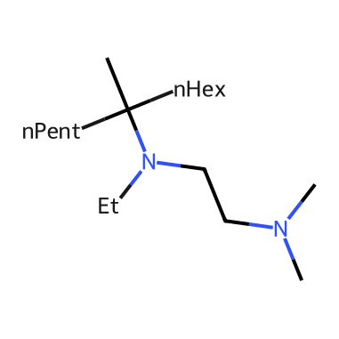 CCCCCCC(C)(CCCCC)N(CC)CCN(C)C